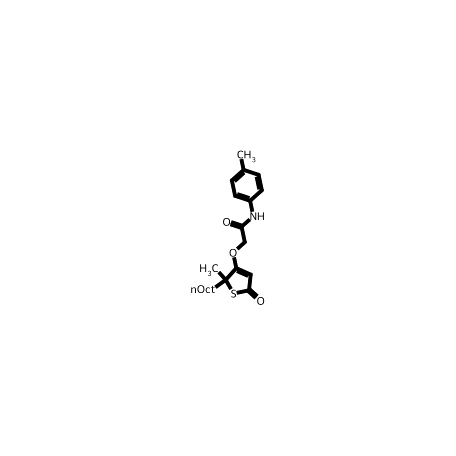 CCCCCCCCC1(C)SC(=O)C=C1OCC(=O)Nc1ccc(C)cc1